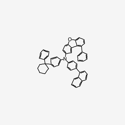 c1ccc(-c2cccc3oc4ccc(N(c5ccc(-c6cccc7ccccc67)cc5)c5ccc(C6(c7ccccc7)CCCCC6)cc5)cc4c23)cc1